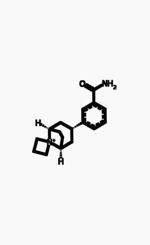 NC(=O)c1cccc([C@H]2C[C@H]3CC[C@@H](C2)[N+]32CCC2)c1